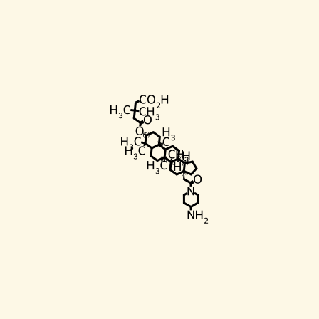 CC(C)(CC(=O)O)CC(=O)O[C@H]1CC[C@@]2(C)C(CC[C@]3(C)C2CC[C@@H]2[C@H]4CCC[C@]4(CC(=O)N4CCC(N)CC4)CC[C@]23C)C1(C)C